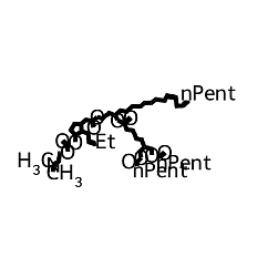 CC/C=C\CC1C(CC(=O)OCCC(CCCCCCCC/C=C\C/C=C\CCCCC)OC(=O)CCCCC(COC(=O)CCCCC)COC(=O)CCCCC)CCC1OC(=O)OCCN(C)C